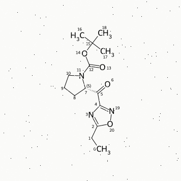 CCc1nc(C(=O)[C@@H]2CCCN2C(=O)OC(C)(C)C)no1